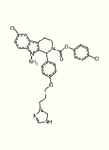 Nn1c2c(c3cc(Cl)ccc31)CCN(C(=O)Oc1ccc(Cl)cc1)C2c1ccc(OCCCN2CNC=N2)cc1